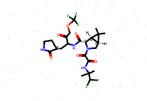 CC(C)(NC(=O)C(=O)N1C[C@H]2[C@@H]([C@H]1C(=O)NC(C[C@@H]1CCNC1=O)C(=O)COC(F)(F)F)C2(C)C)C(F)F